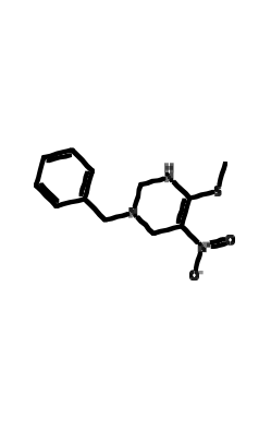 CSC1=C([N+](=O)[O-])CN(Cc2ccccc2)CN1